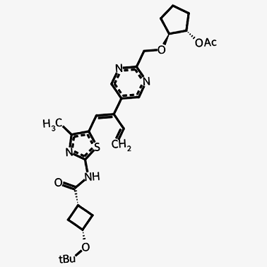 C=C/C(=C\c1sc(NC(=O)[C@H]2C[C@@H](OC(C)(C)C)C2)nc1C)c1cnc(CO[C@H]2CCC[C@@H]2OC(C)=O)nc1